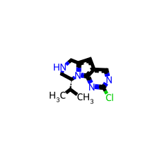 CC(C)[C@@H]1CNCc2cc3cnc(Cl)nc3n21